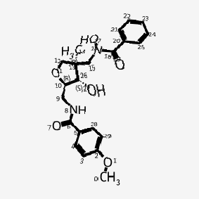 COc1ccc(C(=O)NC[C@H]2OC[C@@](C)(CN(O)C(=O)c3ccccc3)[C@@H]2O)cc1